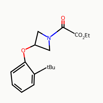 CCOC(=O)C(=O)N1CC(Oc2ccccc2C(C)(C)C)C1